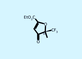 CCOC(=O)C1=CC(=O)[C@](C)(C(F)(F)F)O1